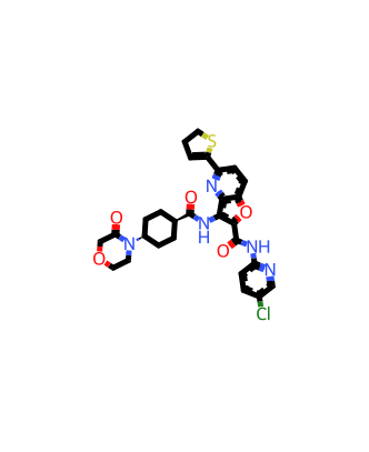 O=C(Nc1ccc(Cl)cn1)c1oc2ccc(C3=CCCS3)nc2c1NC(=O)[C@H]1CC[C@H](N2CCOCC2=O)CC1